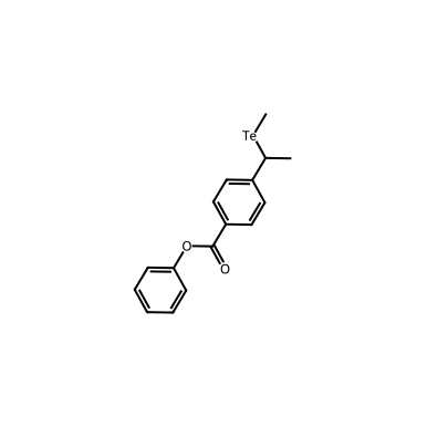 C[Te]C(C)c1ccc(C(=O)Oc2ccccc2)cc1